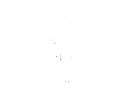 N#CCc1ccc2c(C=Cc3ccccc3)nccn12